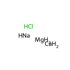 Cl.[CaH2].[MgH2].[NaH]